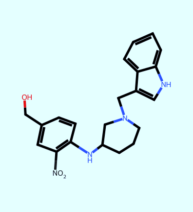 O=[N+]([O-])c1cc(CO)ccc1NC1CCCN(Cc2c[nH]c3ccccc23)C1